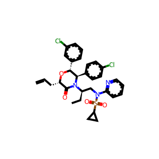 C=CC[C@@H]1O[C@H](c2cccc(Cl)c2)[C@@H](c2ccc(Cl)cc2)N([C@H](CC)CN(c2ccccn2)S(=O)(=O)C2CC2)C1=O